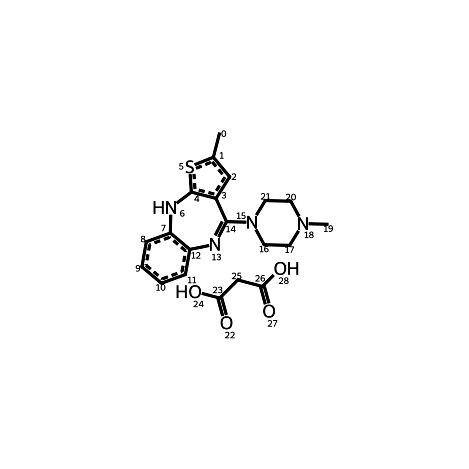 Cc1cc2c(s1)Nc1ccccc1N=C2N1CCN(C)CC1.O=C(O)CC(=O)O